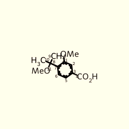 COc1cc(C(=O)O)ccc1C(C)(C)OC